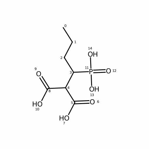 CCCC(C(C(=O)O)C(=O)O)P(=O)(O)O